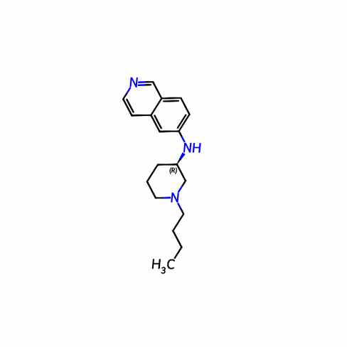 CCCCN1CCC[C@@H](Nc2ccc3cnccc3c2)C1